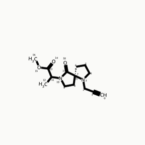 C#CCN1CCC[C@@]12CCN(C(C)C(=O)OC)C2=O